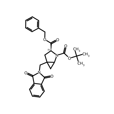 CC(C)(C)OC(=O)N1C2CC2(CN2C(=O)c3ccccc3C2=O)C[C@H]1C(=O)OCc1ccccc1